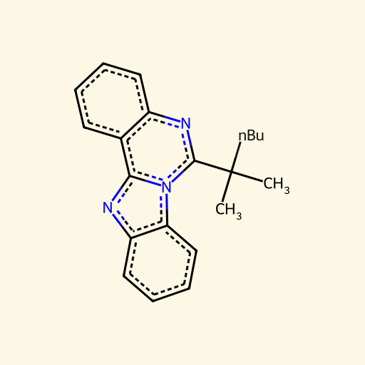 CCCCC(C)(C)c1nc2ccccc2c2nc3ccccc3n12